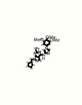 COc1cc(-n2cnc(Nc3nc(C(C)C)nc4c3cnn4CC3CCCC3)c2)cc(OC)c1OC